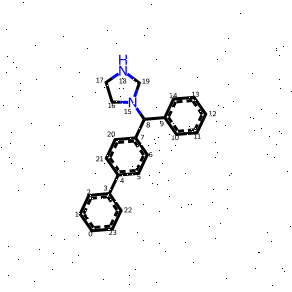 c1ccc(-c2ccc(C(c3ccccc3)N3CCNC3)cc2)cc1